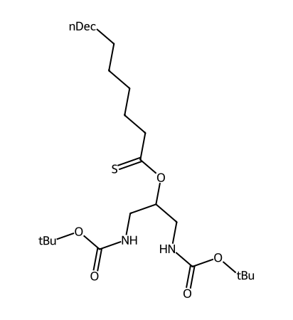 CCCCCCCCCCCCCCCC(=S)OC(CNC(=O)OC(C)(C)C)CNC(=O)OC(C)(C)C